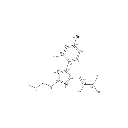 CCCCc1nc(/C=C(\C)C(C)C)c(-c2ccc(Br)cc2C)[nH]1